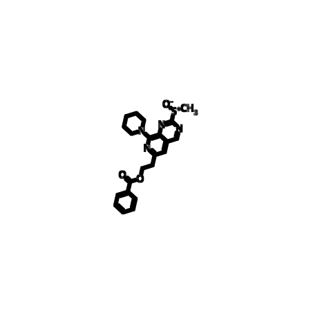 C[S+]([O-])c1ncc2cc(CCOC(=O)c3ccccc3)nc(N3CCCCC3)c2n1